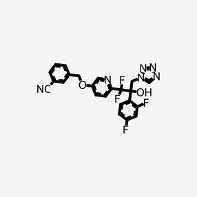 N#Cc1cccc(COc2ccc(C(F)(F)C(O)(Cn3cnnn3)c3ccc(F)cc3F)nc2)c1